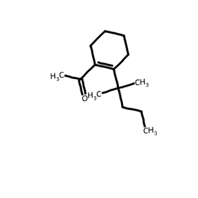 CCCC(C)(C)C1=C(C(C)=O)CCCC1